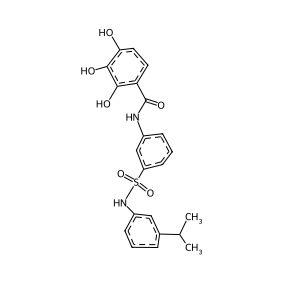 CC(C)c1cccc(NS(=O)(=O)c2cccc(NC(=O)c3ccc(O)c(O)c3O)c2)c1